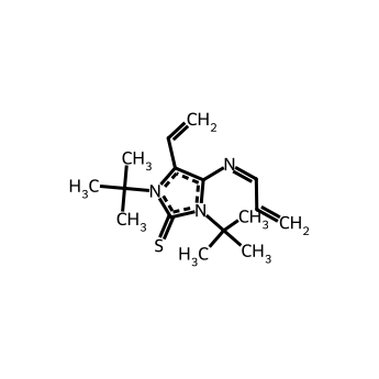 C=C/C=N\c1c(C=C)n(C(C)(C)C)c(=S)n1C(C)(C)C